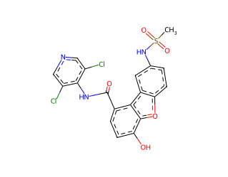 CS(=O)(=O)Nc1ccc2oc3c(O)ccc(C(=O)Nc4c(Cl)cncc4Cl)c3c2c1